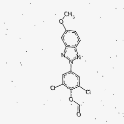 COc1ccc2nn(-c3cc(Cl)c(O[C]=O)c(Cl)c3)nc2c1